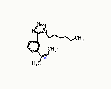 [CH2]/C=C(/C)c1cccc(-c2nnnn2CCCCCC)c1